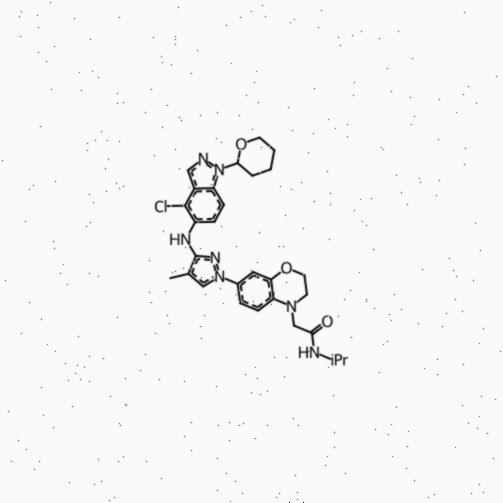 Cc1cn(-c2ccc3c(c2)OCCN3CC(=O)NC(C)C)nc1Nc1ccc2c(cnn2C2CCCCO2)c1Cl